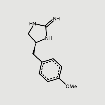 COc1ccc(C[C@H]2CNC(=N)N2)cc1